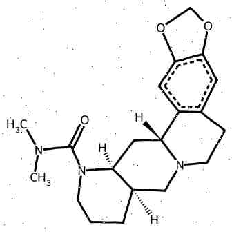 CN(C)C(=O)N1CCC[C@@H]2CN3CCc4cc5c(cc4[C@H]3C[C@@H]21)OCO5